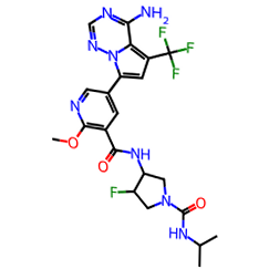 COc1ncc(-c2cc(C(F)(F)F)c3c(N)ncnn23)cc1C(=O)NC1CN(C(=O)NC(C)C)CC1F